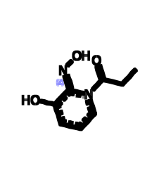 CCC(=O)n1cccc(O)/c1=N/O